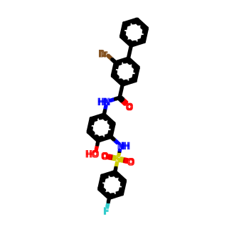 O=C(Nc1ccc(O)c(NS(=O)(=O)c2ccc(F)cc2)c1)c1ccc(-c2ccccc2)c(Br)c1